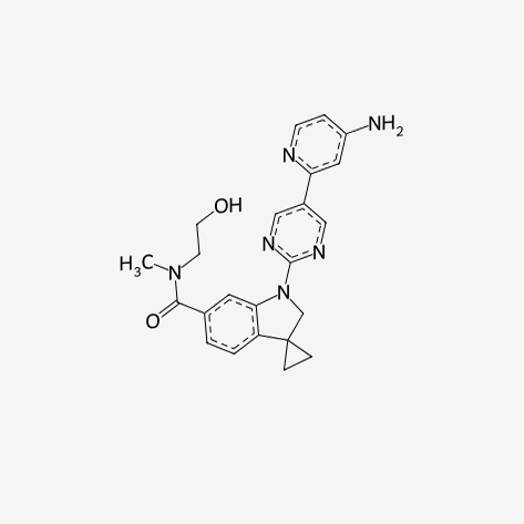 CN(CCO)C(=O)c1ccc2c(c1)N(c1ncc(-c3cc(N)ccn3)cn1)CC21CC1